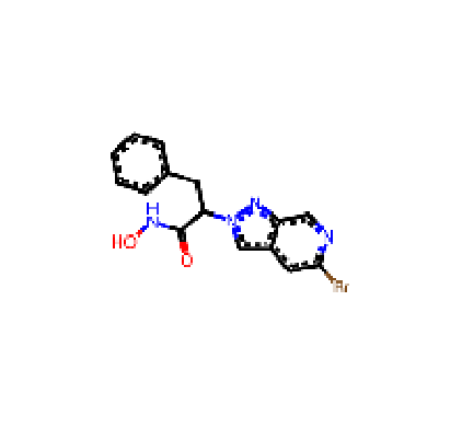 O=C(NO)C(Cc1ccccc1)n1cc2cc(Br)ncc2n1